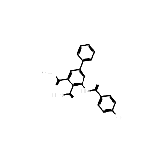 COC(=O)c1cc(-c2ccccc2)cc(NC(=O)c2ccc(C(F)(F)F)cc2)c1C(N)=O